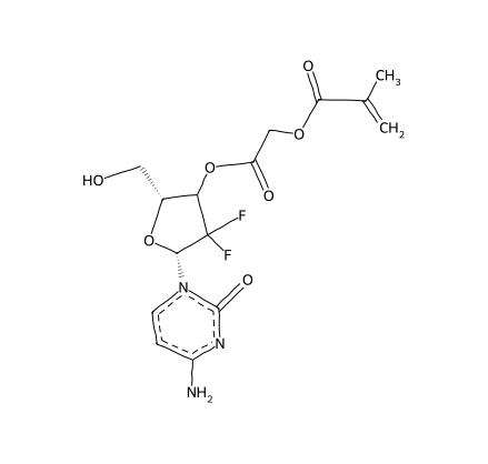 C=C(C)C(=O)OCC(=O)OC1[C@@H](CO)O[C@@H](n2ccc(N)nc2=O)C1(F)F